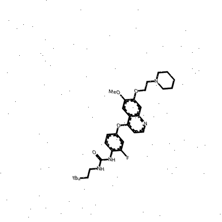 COc1cc2c(Oc3ccc(NC(=O)NCCC(C)(C)C)c(F)c3)ccnc2cc1OCCN1CCCCC1